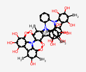 Bc1c(O)c(O)c2c(c1O)c1c(O)c(O)c(O)c(B)c1n2-c1ccccc1-n1c2c(O)c(O)c(B)c(O)c2c2c3ooc4c(B)c(O)c(B)c5c6c(O)c(O)c(O)c7ooc(c(B)c21)c3n(c45)c76